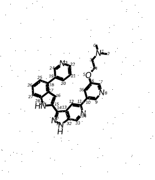 CN(C)CCOc1cncc(-c2cc3c(-c4cc5c(-c6cccnc6)cccc5[nH]4)n[nH]c3cn2)c1